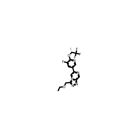 CCOCc1nnc2cnc(-c3cnc(O[C@H](C)C(F)(F)F)c(F)c3)cn12